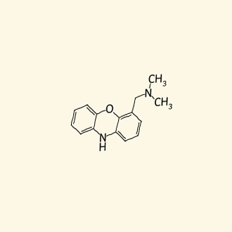 CN(C)Cc1cccc2c1Oc1ccccc1N2